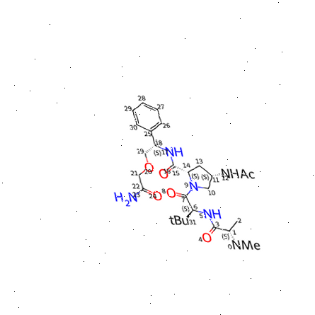 CN[C@@H](C)C(=O)N[C@H](C(=O)N1C[C@@H](NC(C)=O)C[C@H]1C(=O)N[C@H](COCC(N)=O)c1ccccc1)C(C)(C)C